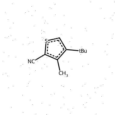 Cc1c(C(C)(C)C)csc1C#N